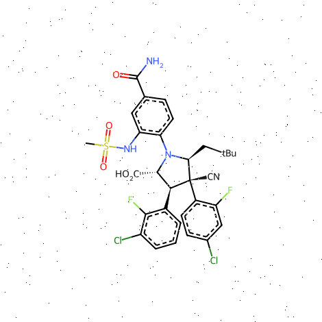 CC(C)(C)C[C@@H]1N(c2ccc(C(N)=O)cc2NS(C)(=O)=O)[C@@H](C(=O)O)[C@H](c2cccc(Cl)c2F)[C@@]1(C#N)c1ccc(Cl)cc1F